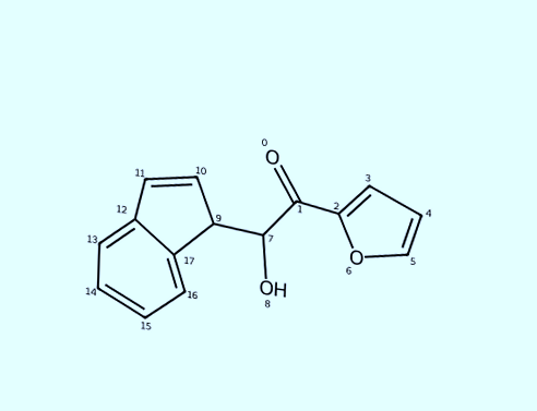 O=C(c1ccco1)C(O)C1C=Cc2ccccc21